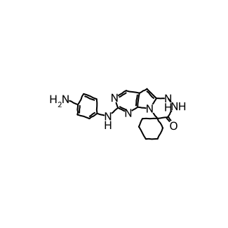 Nc1ccc(Nc2ncc3cc4n(c3n2)C2(CCCCC2)C(=O)NN4)cc1